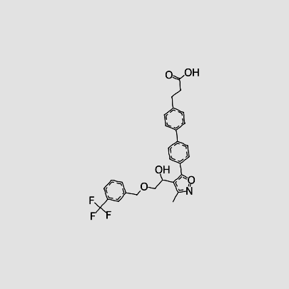 Cc1noc(-c2ccc(-c3ccc(CCC(=O)O)cc3)cc2)c1C(O)COCc1cccc(C(F)(F)F)c1